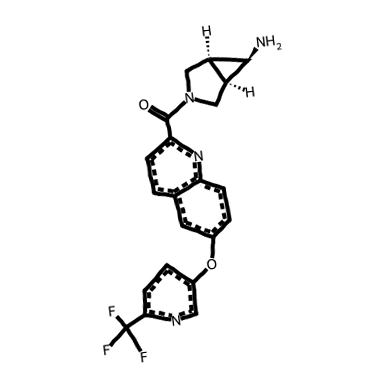 N[C@H]1[C@H]2CN(C(=O)c3ccc4cc(Oc5ccc(C(F)(F)F)nc5)ccc4n3)C[C@@H]12